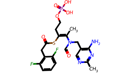 C/C(=C(\CCOP(=O)(O)O)SC(=O)Cc1c(F)cccc1F)N(C=O)Cc1cnc(C)nc1N